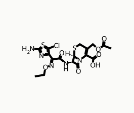 CCON=C(C(=O)N[C@@H]1C(=O)N2C(C(=O)O)=C(COC(C)=O)CS[C@H]12)c1nc(N)sc1Cl